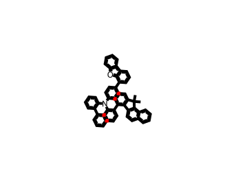 CC1(C)c2cccc(-c3ccccc3N(c3ccc(-c4cccc5c4oc4ccccc45)cc3)c3ccccc3-c3ccccc3)c2-c2ccc3ccccc3c21